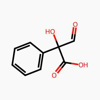 O=CC(O)(C(=O)O)c1ccccc1